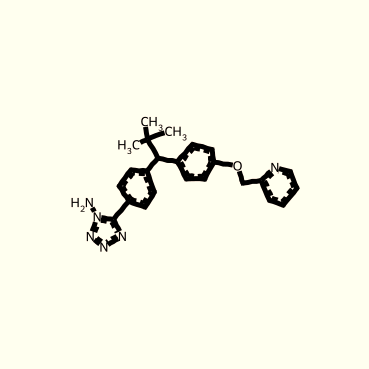 CC(C)(C)C(c1ccc(OCc2ccccn2)cc1)c1ccc(-c2nnnn2N)cc1